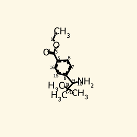 CCOC(=O)c1ccc(C(N)C(C)(C)C)cc1